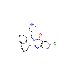 NCCCn1c(-c2cccc3ccccc23)nc2ccc(Cl)cc2c1=O